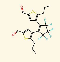 CCCc1sc(C=O)cc1C1=C(c2cc(C=O)sc2CCC)C(F)(F)C(F)(F)C1(F)F